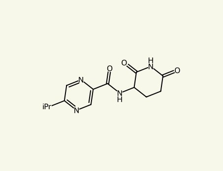 CC(C)c1cnc(C(=O)NC2CCC(=O)NC2=O)cn1